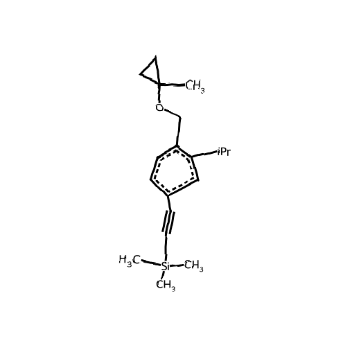 CC(C)c1cc(C#C[Si](C)(C)C)ccc1COC1(C)CC1